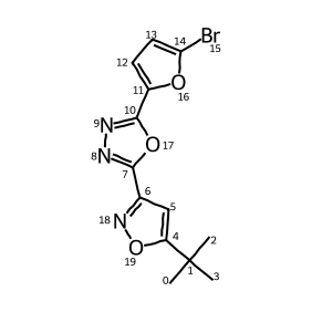 CC(C)(C)c1cc(-c2nnc(-c3ccc(Br)o3)o2)no1